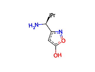 CC(C)[C@H](N)c1cc(O)on1